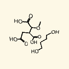 COC(C(=O)O)C(CC(=O)O)C(=O)O.OCCCCO